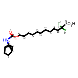 O=C(NC1CC2CCC1C2)OCCCCCCCCCCC(F)(F)S(=O)(=O)O